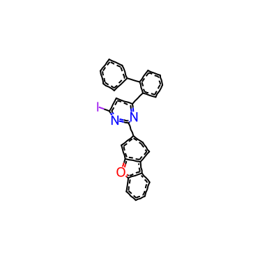 Ic1cc(-c2ccccc2-c2ccccc2)nc(-c2ccc3c(c2)oc2ccccc23)n1